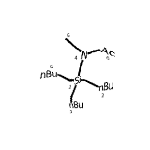 CCCC[Si](CCCC)(CCCC)N(C)C(C)=O